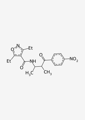 CCc1noc(CC)c1C(=O)NC(C)C(C)C(=O)c1ccc([N+](=O)[O-])cc1